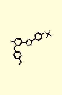 CNc1ccc(Cn2cc(-c3nc(-c4ccc(OC(F)(F)F)cc4)no3)ccc2=O)cn1